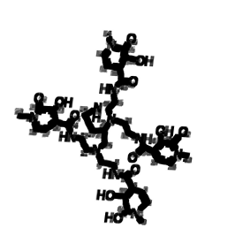 CN1C=CC(C(=O)NCCN(CCNC(=O)c2ccn(C)c(=O)c2O)CC(CCN)N(CCNC(=O)c2ccn(C)c(=O)c2O)CCNC(=O)c2ccn(C)c(=O)c2O)=C(O)C1O